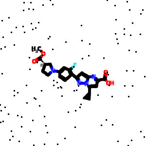 COC(=O)[C@H]1CCN(c2ccc(-c3cc4nc(C(=O)O)cc(C5CC5)n4n3)c(F)c2)C1